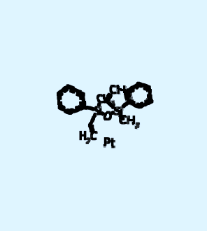 C=C[Si](C)(O[Si](C)(C=C)c1ccccc1)c1ccccc1.[Pt]